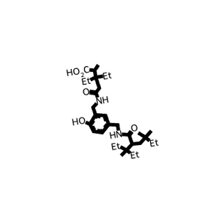 CCC(C)(C)CC(C(=O)NCc1ccc(O)c(CNC(=O)CC(CC)(CC)C(C)C(=O)O)c1)C(C)(CC)CC